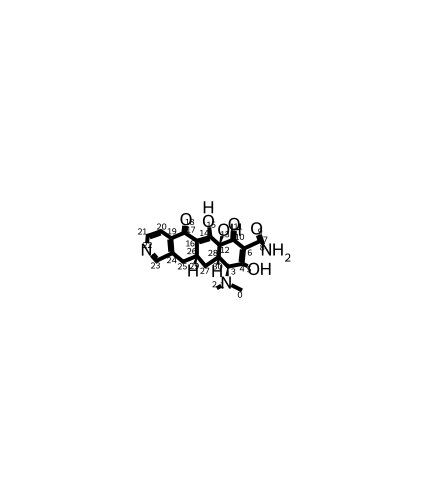 CN(C)[C@@H]1C(O)=C(C(N)=O)C(=O)[C@@]2(O)C(O)=C3C(=O)c4ccncc4C[C@H]3C[C@@H]12